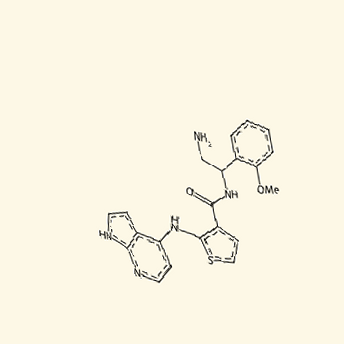 COc1ccccc1C(CN)NC(=O)c1ccsc1Nc1ccnc2[nH]ccc12